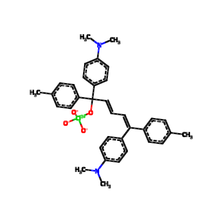 Cc1ccc(C(=CC=CC(O[Cl+3]([O-])([O-])[O-])(c2ccc(C)cc2)c2ccc(N(C)C)cc2)c2ccc(N(C)C)cc2)cc1